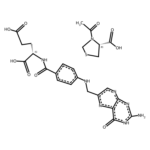 CC(=O)N1CSC[C@H]1C(=O)O.Nc1nc2ncc(CNc3ccc(C(=O)N[C@@H](CCC(=O)O)C(=O)O)cc3)nc2c(=O)[nH]1